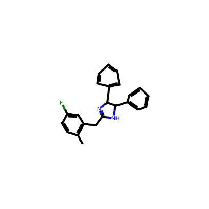 Cc1ccc(F)cc1CC1=NC(c2ccccc2)C(c2ccccc2)N1